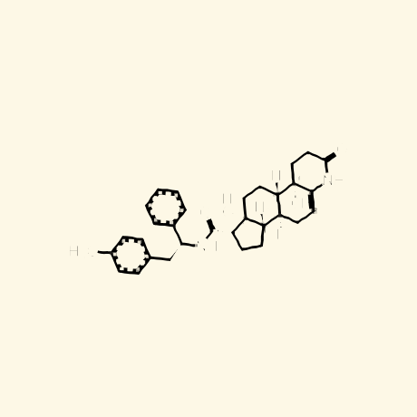 Cc1ccc(C[C@H](NC(=O)[C@H]2CC[C@H]3[C@@H]4CC=C5NC(=O)CC[C@]5(C)[C@H]4CC[C@]23C)c2ccccc2)cc1